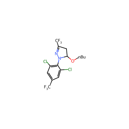 CCCCOC1CC(C(F)(F)F)=NN1c1c(Cl)cc(C(F)(F)F)cc1Cl